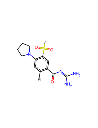 CCc1cc(N2CCCC2)c(S(C)(=O)=O)cc1C(=O)N=C(N)N